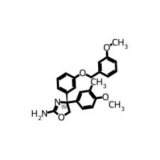 COc1cccc(COc2cccc([C@@]3(c4ccc(OC)c(C)c4)COC(N)=N3)c2)c1